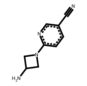 N#Cc1ccc(N2CC(N)C2)nc1